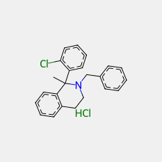 CC1(c2ccccc2Cl)c2ccccc2CCN1Cc1ccccc1.Cl